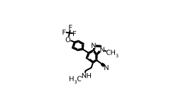 CNCCc1cc(-c2ccc(OC(F)(F)F)cc2)c2ncn(C)c2c1C#N